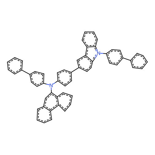 c1ccc(-c2ccc(N(c3ccc(-c4ccc5c(c4)c4ccccc4n5-c4ccc(-c5ccccc5)cc4)cc3)c3cc4ccccc4c4ccccc34)cc2)cc1